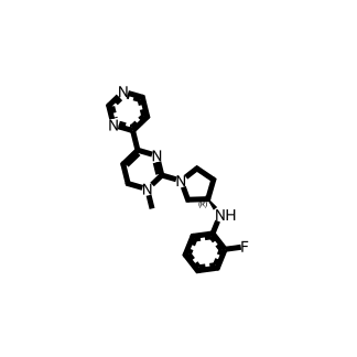 CN1CC=C(c2ccncn2)N=C1N1CC[C@@H](Nc2ccccc2F)C1